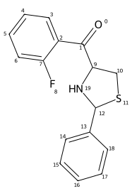 O=C(c1ccccc1F)C1CSC(c2ccccc2)N1